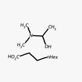 CC(O)N(C)C.CCCCCCCCC(=O)O